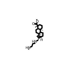 CNCCCNC[C@H]1C[C@@]23CCC4[C@@](C)(CCC[C@@]4(C)C(=O)OC)C2CC[C@@H]1C3